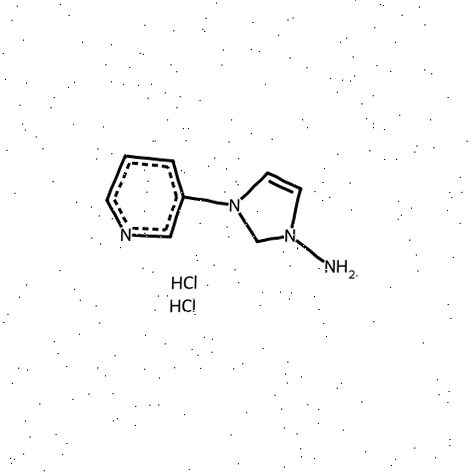 Cl.Cl.NN1C=CN(c2cccnc2)C1